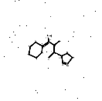 CC(C(S)=C1CCCCC1)C(C)C1C=CCC1